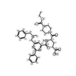 CCOC(=O)N1CCN(C(=O)C(CCC(=O)O)NC(=O)c2cc(CN(C)Cc3ccccc3)nc(-c3ccccc3)n2)CC1